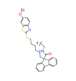 CCOc1ccc2nc(SCCCCCCC3(C(=O)NCC(F)(F)F)c4ccccc4-c4ccccc43)sc2c1